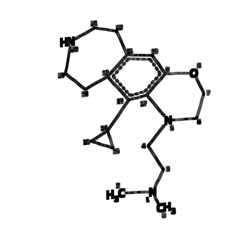 CN(C)CCN1CCOc2cc3c(c(C4CC4)c21)CCNCC3